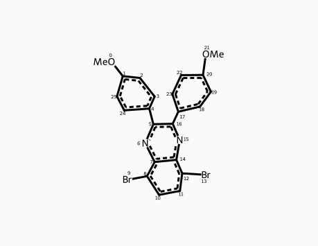 COc1ccc(-c2nc3c(Br)ccc(Br)c3nc2-c2ccc(OC)cc2)cc1